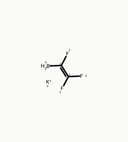 [BH3-]C(F)=C(F)F.[K+]